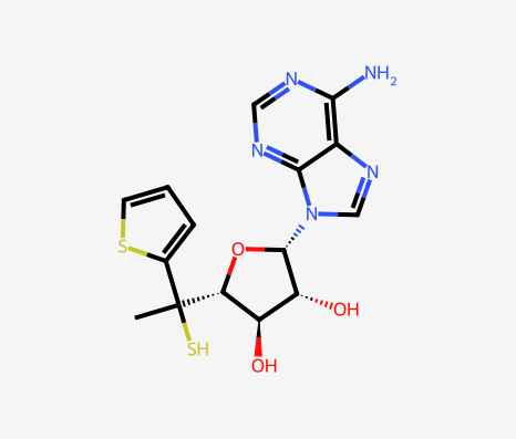 CC(S)(c1cccs1)[C@@H]1O[C@H](n2cnc3c(N)ncnc32)[C@H](O)[C@H]1O